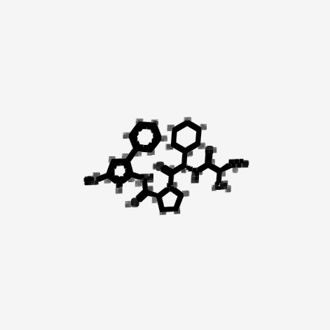 CN[C@@H](C)C(=O)N[C@H](C(=O)N1CCC[C@H]1C(=O)Nc1sc(C(C)(C)C)cc1-c1ccccc1)C1CCCCC1